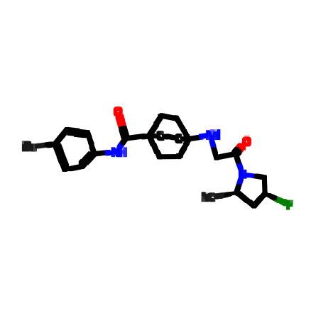 CCC(C)c1ccc(NC(=O)C23CCC(NCC(=O)N4C[C@@H](F)C[C@H]4C#N)(CC2)CC3)cc1